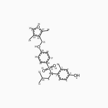 Cc1cc(O)ccc1N(CC(C)C)S(=O)(=O)c1ccc(OCc2c(C)noc2C)cc1